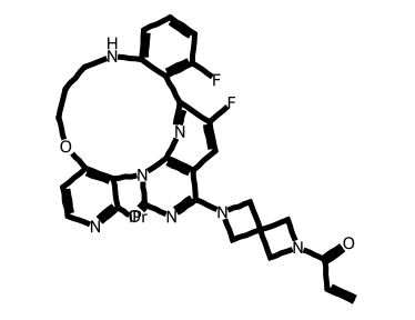 C=CC(=O)N1CC2(C1)CN(c1nc(=O)n3c4nc(c(F)cc14)-c1c(F)cccc1NCCCOc1ccnc(C(C)C)c1-3)C2